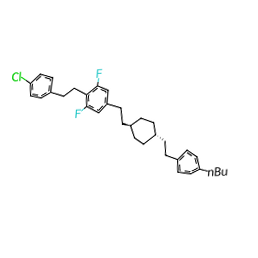 CCCCc1ccc(CC[C@H]2CC[C@H](CCc3cc(F)c(CCc4ccc(Cl)cc4)c(F)c3)CC2)cc1